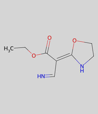 CCOC(=O)/C(C=N)=C1/NCCO1